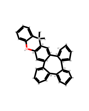 C[Si]1(C)c2ccccc2Oc2cc3c(cc21)-c1ccccc1-c1ccccc1-c1ccccc1-3